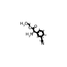 CCOC(=O)[C@@H](N)c1cccc(C#N)c1